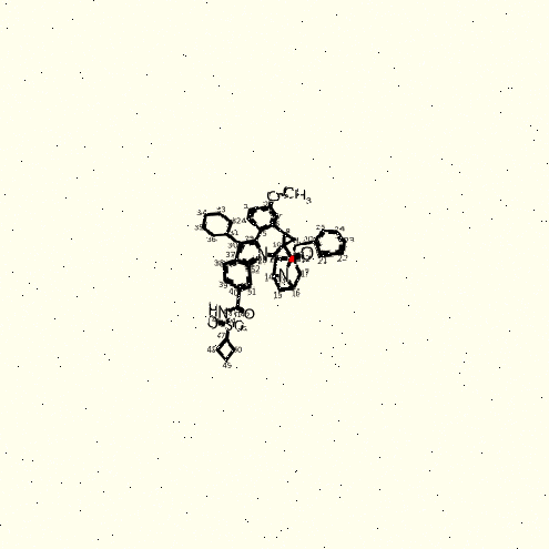 COc1ccc2c(c1)C1CC1(C(=O)N1C3CC1CN(Cc1ccccc1)C3)Cn1c-2c(C2CCCCC2)c2ccc(C(=O)NS(=O)(=O)C3CCC3)cc21